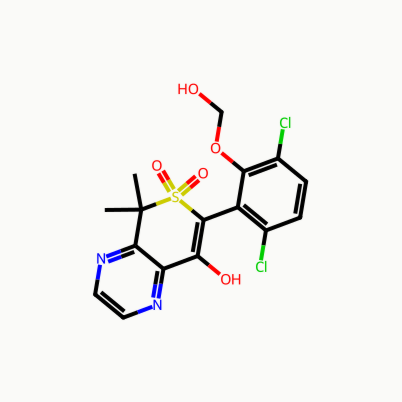 CC1(C)c2nccnc2C(O)=C(c2c(Cl)ccc(Cl)c2OCO)S1(=O)=O